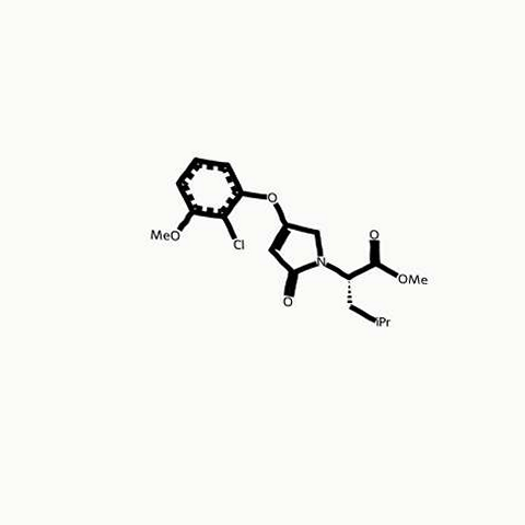 COC(=O)[C@H](CC(C)C)N1CC(Oc2cccc(OC)c2Cl)=CC1=O